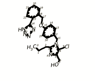 CCCc1nc(CO)c(Cl)n1Cc1ccc(OCc2ccccc2-c2nnn[nH]2)cc1